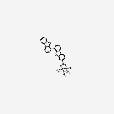 CC1(C)OB(c2ccc3c(c2)oc2c(-c4cccc5c4oc4ccccc45)cccc23)OC1(C)C